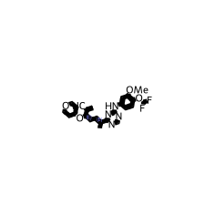 C=C(C#N)/C(=C\C=C(/C)c1ncnc(Nc2ccc(OC(F)F)c(OC)c2)n1)OC1CCOCC1